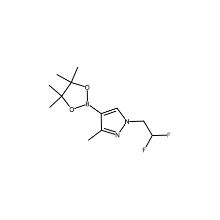 Cc1nn(CC(F)F)cc1B1OC(C)(C)C(C)(C)O1